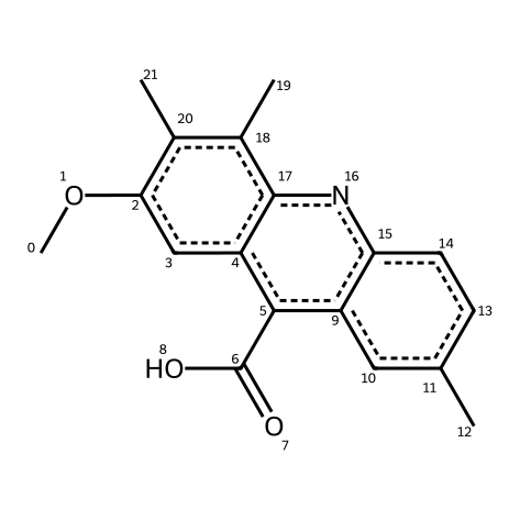 COc1cc2c(C(=O)O)c3cc(C)ccc3nc2c(C)c1C